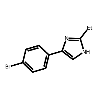 CCc1nc(-c2ccc(Br)cc2)c[nH]1